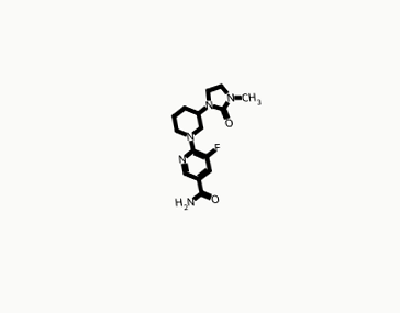 CN1CCN(C2CCCN(c3ncc(C(N)=O)cc3F)C2)C1=O